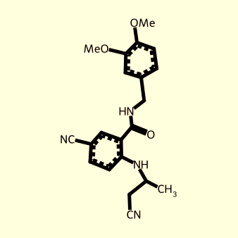 COc1ccc(CNC(=O)c2cc(C#N)ccc2NC(C)CC#N)cc1OC